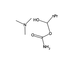 CCCC(O)OC(N)=O.CN(C)C